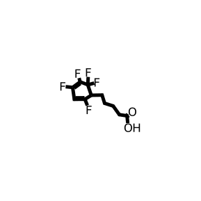 O=C(O)CCCCC1C(F)=CC(F)=C(F)C1(F)F